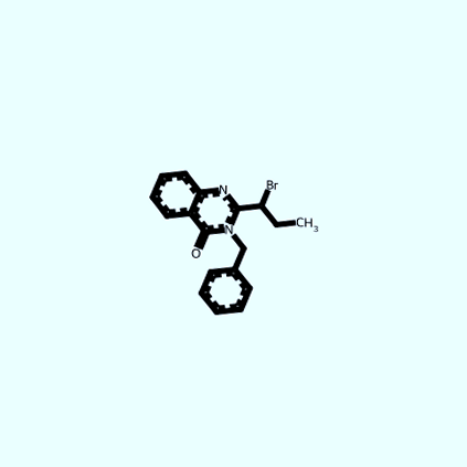 CCC(Br)c1nc2ccccc2c(=O)n1Cc1ccccc1